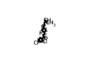 CN(C)CCOc1ccc(C=CC(=O)c2ccc(Cl)cc2Cl)c(F)c1